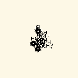 C=C(C)C(C(=O)OC(c1ccccc1)c1ccccc1)N1C(=O)C(N(Oc2ccc(Cl)cc2)C(C)=O)C1S(=O)O